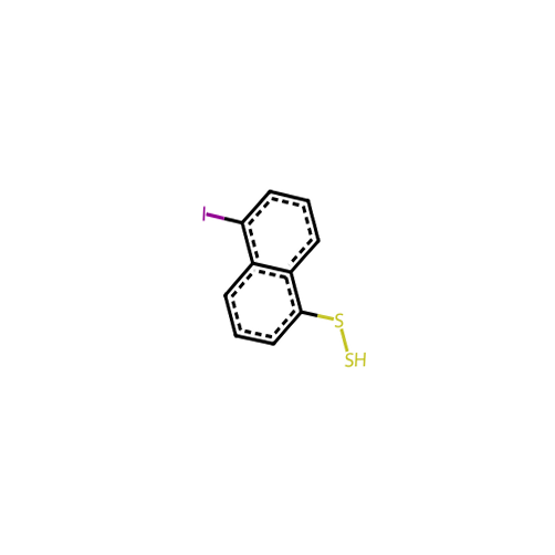 SSc1cccc2c(I)cccc12